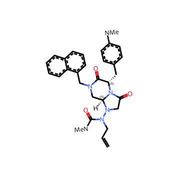 C=CCN(C(=O)NC)N1CC(=O)N2[C@@H](Cc3ccc(NC)cc3)C(=O)N(Cc3cccc4ccccc34)C[C@@H]21